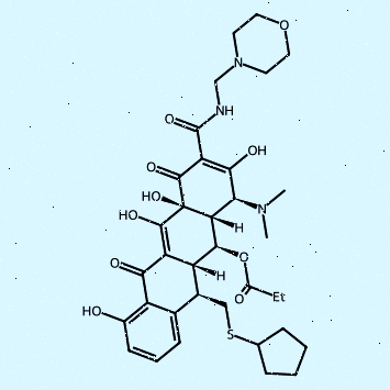 CCC(=O)O[C@H]1[C@H]2C(=C(O)[C@]3(O)C(=O)C(C(=O)NCN4CCOCC4)=C(O)[C@@H](N(C)C)[C@H]13)C(=O)c1c(O)cccc1[C@@H]2CSC1CCCC1